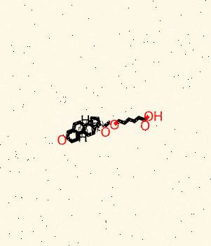 C[C@]12CC[C@H]3[C@@H](CCC4=CC(=O)CC[C@@]43C)[C@@H]1CC[C@@H]2C(=O)COCCCCCC(=O)O